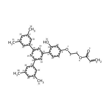 C=CC(=O)OCCOc1ccc(-c2nc(-c3cc(C)cc(C)c3)nc(-c3cc(C)cc(C)c3)n2)c(O)c1